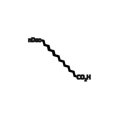 CCCCCCCCCCCCC=CC=CCCCCCCCCC(=O)O